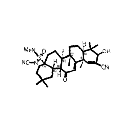 CNS(=O)(=NC#N)[C@]12CCC(C)(C)C[C@H]1[C@H]1C(=O)C=C3[C@@]4(C)C=C(C#N)C(O)C(C)(C)[C@@H]4CC[C@@]3(C)[C@]1(C)CC2